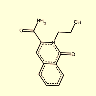 NC(=O)c1cc2[c]cccc2c(=O)n1CCO